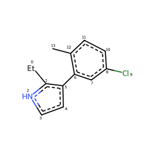 [CH2]Cc1[nH]ccc1-c1cc(Cl)ccc1C